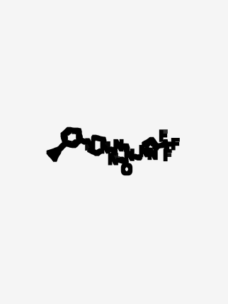 O=c1nc(N2CCN(c3cccc(C4CC4)c3)CC2)ncn1Cn1ccc(C(F)(F)F)n1